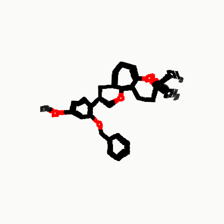 CCOc1ccc(C2COC3=C4CCC(C)(C)OC4=CCC=C3C2)c(OCc2ccccc2)c1